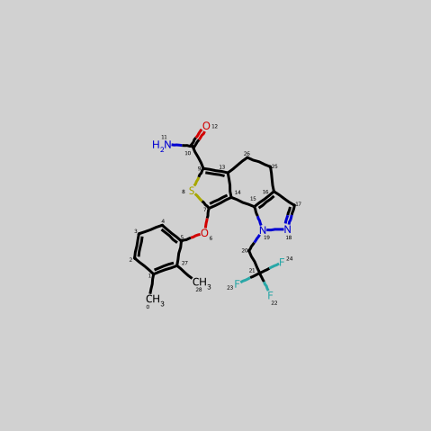 Cc1cccc(Oc2sc(C(N)=O)c3c2-c2c(cnn2CC(F)(F)F)CC3)c1C